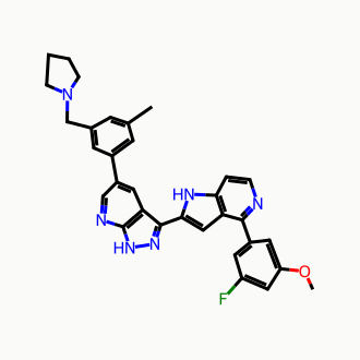 COc1cc(F)cc(-c2nccc3[nH]c(-c4n[nH]c5ncc(-c6cc(C)cc(CN7CCCC7)c6)cc45)cc23)c1